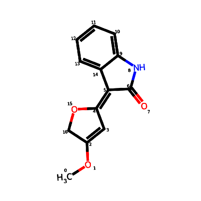 COC1=CC(=C2C(=O)Nc3ccccc32)OC1